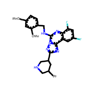 COc1ccc(CNc2nc3c(F)cc(F)cc3c3nc(C4CNCC(C(C)C)C4)nn23)c(OC)c1